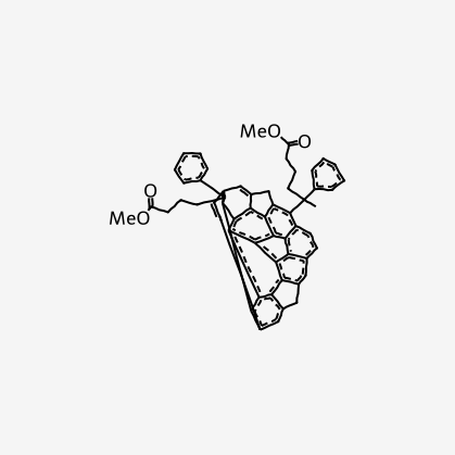 COC(=O)CCCC(C)(c1ccccc1)c1c2c3c4c5c6c7c8c(cc9c7c7c(cc%10ccc1c1c%10c7c6c31)C9)C=CC1(C=C4C2)C(CCCC(=O)OC)(c2ccccc2)C851